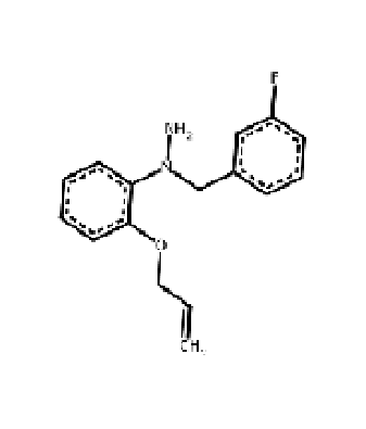 C=CCOc1ccccc1N(N)Cc1cccc(F)c1